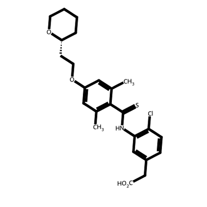 Cc1cc(OCC[C@H]2CCCCO2)cc(C)c1C(=S)Nc1cc(CC(=O)O)ccc1Cl